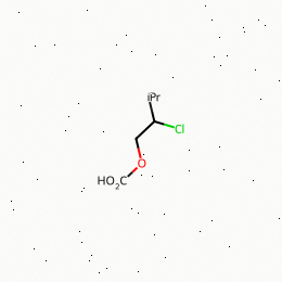 CC(C)C(Cl)COC(=O)O